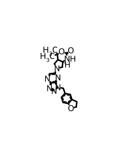 CC1(C)OC(=O)N[C@H]2CN(c3cnc4nnn(Cc5ccc6c(c5)CCO6)c4n3)CC21